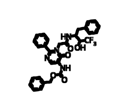 O=C(Cn1c(-c2ccccc2)ncc(NC(=O)OCc2ccccc2)c1=O)NC(Cc1ccccc1)C(O)C(F)(F)F